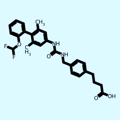 Cc1cc(NC(=O)NCc2ccc(CCCC(=O)O)cc2)cc(C)c1-c1ccccc1OC(F)F